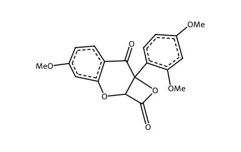 COc1ccc2c(c1)OC1C(=O)OC1(c1ccc(OC)cc1OC)C2=O